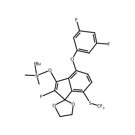 CC(C)(C)[Si](C)(C)OC1=C(F)C2(OCCO2)c2c(SC(F)(F)F)ccc(Oc3cc(F)cc(F)c3)c21